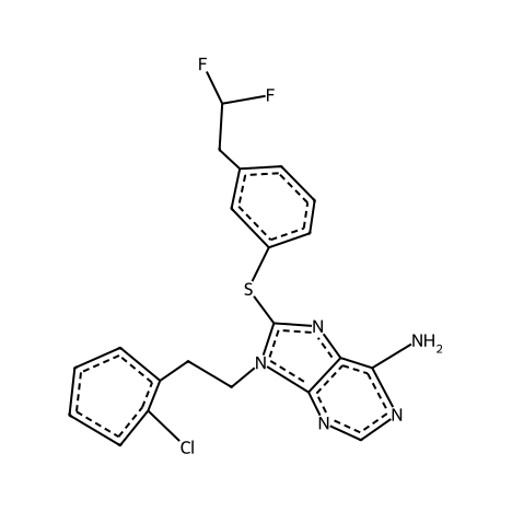 Nc1ncnc2c1nc(Sc1cccc(CC(F)F)c1)n2CCc1ccccc1Cl